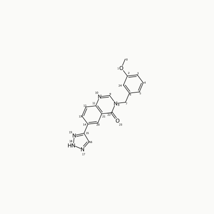 COc1cccc(Cn2cnc3ccc(-c4cn[nH]n4)cc3c2=O)c1